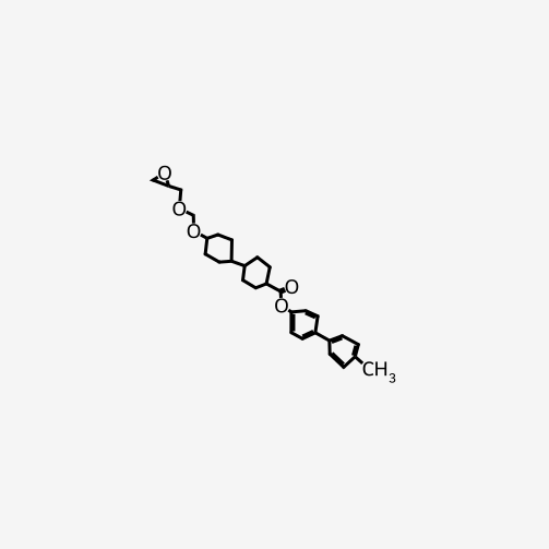 Cc1ccc(-c2ccc(OC(=O)C3CCC(C4CCC(OCOCC5CO5)CC4)CC3)cc2)cc1